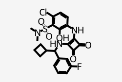 CN(C)S(=O)(=O)c1c(Cl)ccc(Nc2c(NC(c3cccc(F)c3)C3CCC3)c(=O)c2=O)c1O